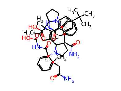 CC1CC(C2CCCN2[C@@]2(C(=O)NC(=O)O)c3ccc(cc3)C2(C)CC(N)=O)=C(c2ccc(C(C)(C)C)cc2)C1(C)C1CCCN1[C@@]1(C(=O)NC(=O)O)c2ccc(cc2)C1(C)CC(N)=O